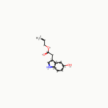 C=CCOC(=O)Cc1c[nH]c2ccc(O)cc12